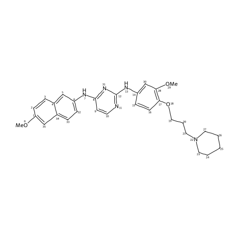 COc1ccc2cc(Nc3ccnc(Nc4ccc(OCCCN5CCCCC5)c(OC)c4)n3)ccc2c1